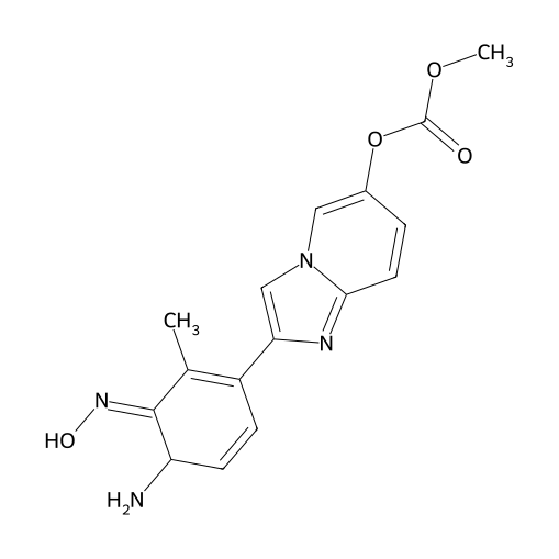 COC(=O)Oc1ccc2nc(C3=C(C)C(=NO)C(N)C=C3)cn2c1